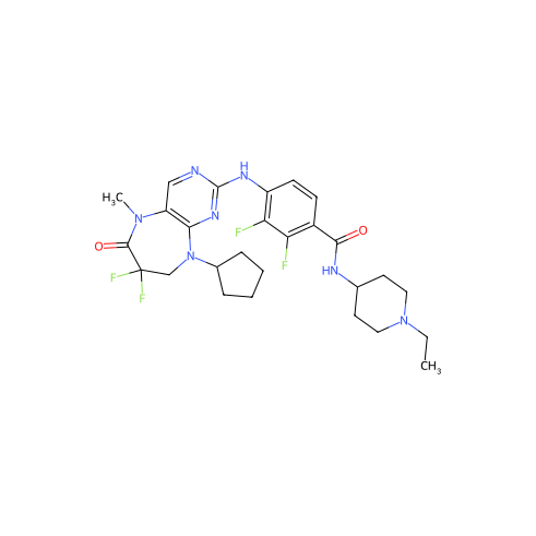 CCN1CCC(NC(=O)c2ccc(Nc3ncc4c(n3)N(C3CCCC3)CC(F)(F)C(=O)N4C)c(F)c2F)CC1